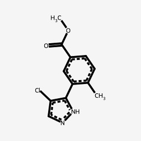 COC(=O)c1ccc(C)c(-c2[nH]ncc2Cl)c1